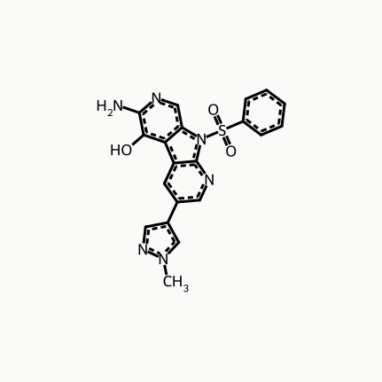 Cn1cc(-c2cnc3c(c2)c2c(O)c(N)ncc2n3S(=O)(=O)c2ccccc2)cn1